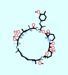 CO[C@H]1C[C@@H]2CC[C@@H](C)[C@@](O)(O2)C(=O)C(=O)N2CCCC[C@H]2C(=O)O[C@H]([C@H](C)C[C@@H]2CCC(C)[C@H](OC)C2)CC(=O)[C@H](C)/C=C(\C)[C@@H](O)[C@@H](OC)C(=O)[C@@H](C)C[C@H](C)/C=C/C=C/C=C/1C